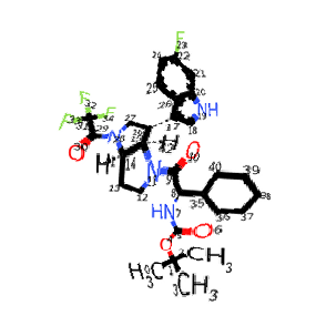 CC(C)(C)OC(=O)N[C@H](C(=O)N1CC[C@@H]2[C@H]1[C@@H](c1c[nH]c3cc(F)ccc13)CN2C(=O)C(F)(F)F)C1CCCCC1